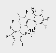 Bc1c(F)c(F)c(F)c(F)c1-c1c(F)c(C)c(F)c(-c2c(F)c(F)c(F)c(F)c2P)c1P